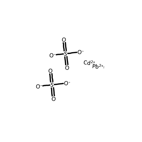 O=S(=O)([O-])[O-].O=S(=O)([O-])[O-].[Cd+2].[Pb+2]